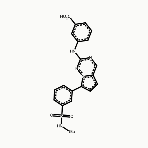 CC(C)(C)NS(=O)(=O)c1cccc(-c2ccc3cnc(Nc4cccc(C(=O)O)c4)nn23)c1